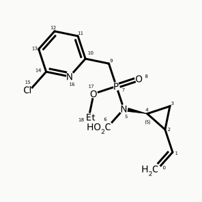 C=CC1C[C@@H]1N(C(=O)O)P(=O)(Cc1cccc(Cl)n1)OCC